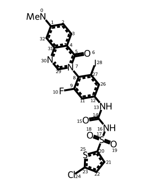 CNc1ccc2c(=O)n(-c3c(F)cc(NC(=O)NS(=O)(=O)c4ccc(Cl)s4)cc3I)cnc2c1